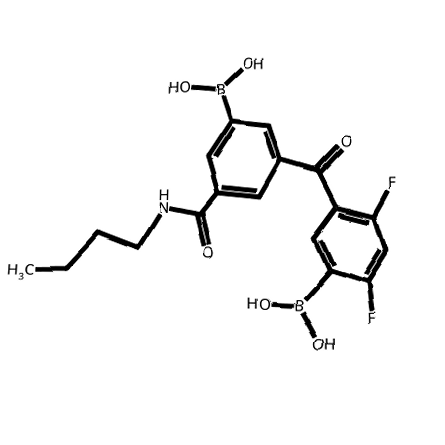 CCCCNC(=O)c1cc(B(O)O)cc(C(=O)c2cc(B(O)O)c(F)cc2F)c1